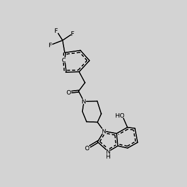 O=C(Cc1ccc(C(F)(F)F)cc1)N1CCC(n2c(=O)[nH]c3cccc(O)c32)CC1